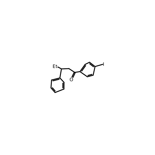 CCC(CC(=O)c1ccc(I)cc1)c1ccccc1